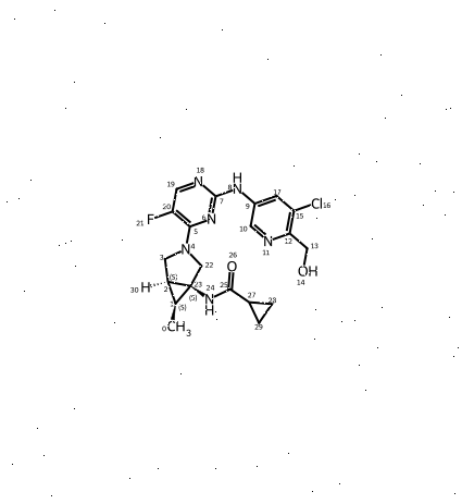 C[C@H]1[C@H]2CN(c3nc(Nc4cnc(CO)c(Cl)c4)ncc3F)C[C@@]21NC(=O)C1CC1